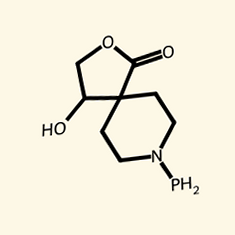 O=C1OCC(O)C12CCN(P)CC2